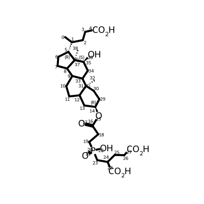 CC(CCC(=O)O)[C@H]1CCC2C3CCC4C[C@H](OC(=O)CCP(=O)(O)CC(CCC(=O)O)C(=O)O)CC[C@]4(C)C3C[C@H](O)[C@@]21C